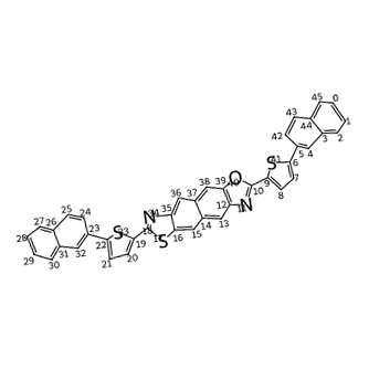 c1ccc2cc(-c3ccc(-c4nc5cc6cc7sc(-c8ccc(-c9ccc%10ccccc%10c9)s8)nc7cc6cc5o4)s3)ccc2c1